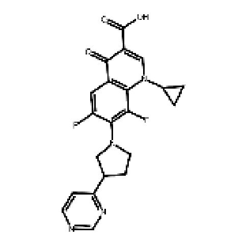 O=C(O)c1cn(C2CC2)c2c(F)c(N3CCC(c4ccncn4)C3)c(F)cc2c1=O